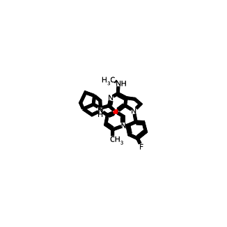 CNc1nc(NC2C3CCC2CN(c2cc(C)ncn2)C3)nc2c1CCN2c1ccc(F)cc1